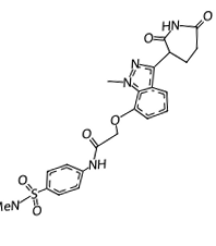 CNS(=O)(=O)c1ccc(NC(=O)COc2cccc3c(C4CCC(=O)NC4=O)nn(C)c23)cc1